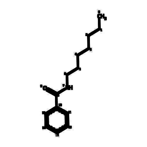 CCCCCCCNC(=O)c1ccccc1